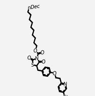 CCCCCCCCCCCCCCCCCCCCOC(=O)N1C(=O)SC(Cc2ccc(OCCc3ccc(CC)cn3)cc2)C1=O